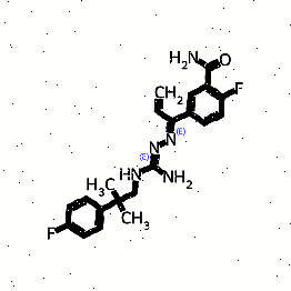 C=C/C(=N\N=C(/N)NCC(C)(C)c1ccc(F)cc1)c1ccc(F)c(C(N)=O)c1